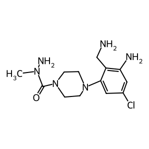 CN(N)C(=O)N1CCN(c2cc(Cl)cc(N)c2CN)CC1